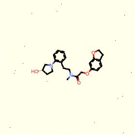 CN(CCc1ccccc1N1CC[C@H](O)C1)C(=O)COc1ccc2c(c1)OCC2